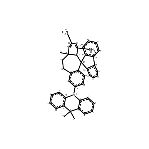 CC1(C)c2ccccc2N(c2ccc3c(c2)CCC2(C)C=C(N)C=C(N)C2C32c3ccccc3-c3ccccc32)c2ccccc21